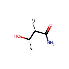 CC[C@H](C(N)=O)[C@H](C)O